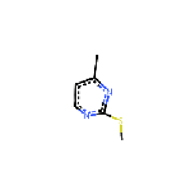 CSc1n[c]cc(C)n1